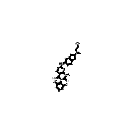 CN(CCO)C1Cc2ccc(Nc3ncc4c(=N)n(-c5c(Cl)cccc5Cl)c(=O)n(C)c4n3)cc2C1